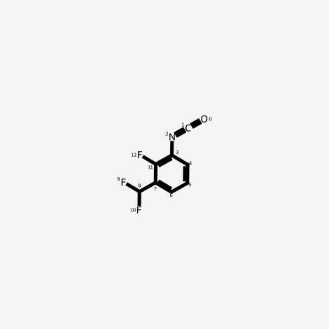 O=C=Nc1cccc(C(F)F)c1F